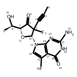 CC#CC1(F)C(=O)[C@@H]([C@@H](C)O)O[C@H]1n1cc(F)c2c(=O)[nH]c(N)nc21